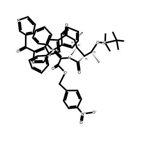 C[C@@H](O[Si](C)(C)C(C)(C)C)[C@@H]1C(=O)N(C(C(=O)OCc2ccc([N+](=O)[O-])cc2)=P(c2ccccc2)(c2ccccc2)c2ccccc2)[C@@H]1[C@@H](C)C(=O)c1cn2cnc(C(=O)c3cccnc3)c2s1